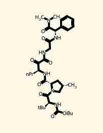 CCC[C@H](NC(=O)[C@@H]1C[C@H](C)CN1C(=O)[C@@H](NC(=O)OCC(C)C)C(C)(C)C)C(=O)C(=O)NCC(=O)N[C@H](C(=O)N(C)C)c1ccccc1